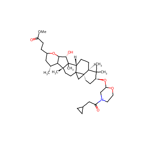 COC(=O)CCC1C[C@@H](C)C2C(O1)[C@H](O)C1(C)[C@@H]3CC[C@H]4C(C)(C)[C@@H](OC5CN(C(=O)CC6CC6)CCO5)CC[C@@]45CC35CC[C@]21C